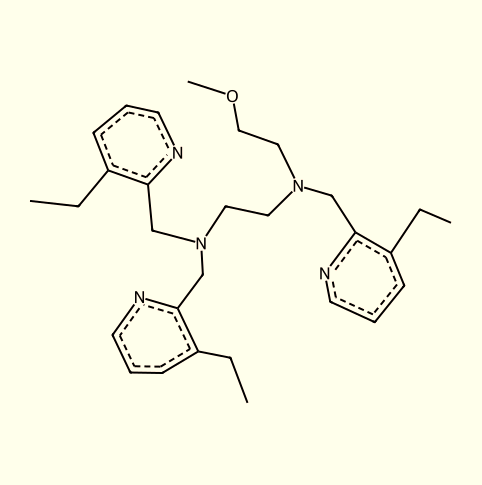 CCc1cccnc1CN(CCOC)CCN(Cc1ncccc1CC)Cc1ncccc1CC